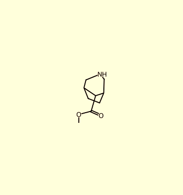 COC(=O)C1C2CCC1CNC2